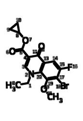 CCn1cc(C(=O)OC2CC2)c(=O)c2cc(F)c(Br)c(OC)c21